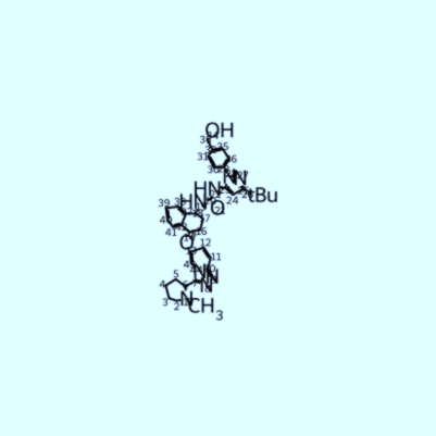 CN1CCCCC1c1nnc2ccc(O[C@@H]3CC[C@H](NC(=O)Nc4cc(C(C)(C)C)nn4-c4ccc(CO)cc4)c4ccccc43)cn12